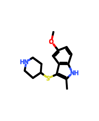 COc1ccc2[nH]c(C)c(SC3CCNCC3)c2c1